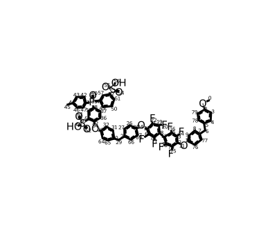 COc1ccc(Cc2ccc(Oc3c(F)c(F)c(-c4c(F)c(F)c(Oc5ccc(Cc6ccc(Oc7ccc(P(=O)(c8ccc(C)cc8)c8cccc(S(=O)(=O)O)c8)cc7S(=O)(=O)O)cc6)cc5)c(F)c4F)c(F)c3F)cc2)cc1